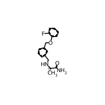 C[C@H](NCc1cccc(COc2ccccc2F)c1)C(N)=O